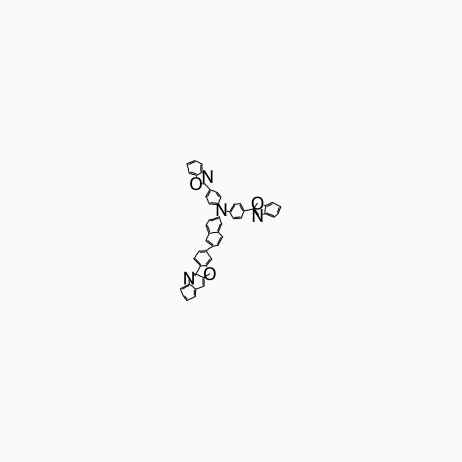 c1ccc2nc3c(cc2c1)oc1cc(-c2ccc4cc(N(c5ccc(-c6nc7ccccc7o6)cc5)c5ccc(-c6nc7ccccc7o6)cc5)ccc4c2)ccc13